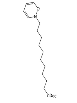 CCCCCCCCCCCCCCCCCCCCN1C=CC=CO1